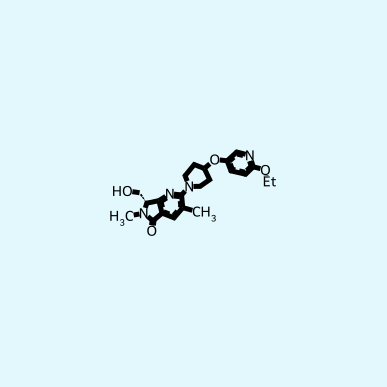 CCOc1ccc(OC2CCN(c3nc4c(cc3C)C(=O)N(C)[C@@H]4CO)CC2)cn1